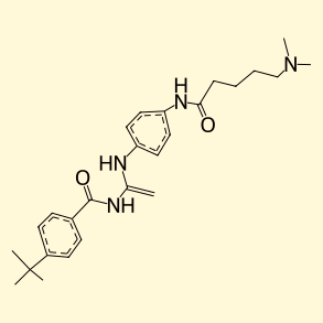 C=C(NC(=O)c1ccc(C(C)(C)C)cc1)Nc1ccc(NC(=O)CCCCN(C)C)cc1